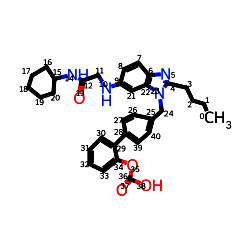 CCCCc1nc2ccc(NCC(=O)NC3CCCCC3)cc2n1Cc1ccc(-c2ccccc2OC(=O)O)cc1